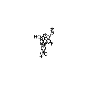 CC(C)(C)OC(=O)N1CCc2cc(-c3nc(O)c4ccsc4c3-c3c(F)cc(F)cc3OCCO[Si](C)(C)C(C)(C)C)nn2CC1